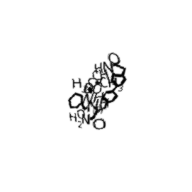 CC(C)(C)OC(=O)NC1(C(=O)N[C@@H](Cc2ccc(-c3ccc4c(c3)NC(=O)C4)cc2)C(N)=O)CCCCC1